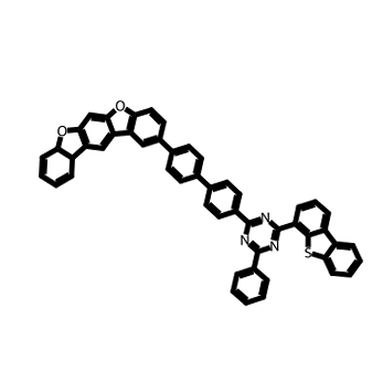 C1=CC2Oc3cc4oc5ccc(-c6ccc(-c7ccc(-c8nc(-c9ccccc9)nc(-c9cccc%10c9sc9ccccc9%10)n8)cc7)cc6)cc5c4cc3C2C=C1